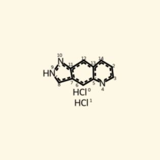 Cl.Cl.c1cnc2cc3c[nH]nc3cc2c1